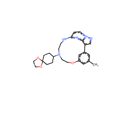 Cc1cc2cc(c1)-c1cnn3ccc(nc13)NCCN(C1CCC3(CC1)OCCO3)CCO2